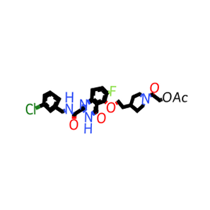 CC(=O)OCC(=O)N1CCC(CCOc2c(F)ccc3nc(C(=O)NCc4cccc(Cl)c4)[nH]c(=O)c23)CC1